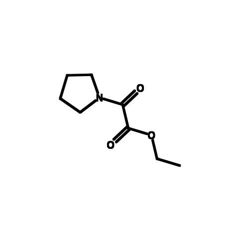 CCOC(=O)C(=O)N1CCCC1